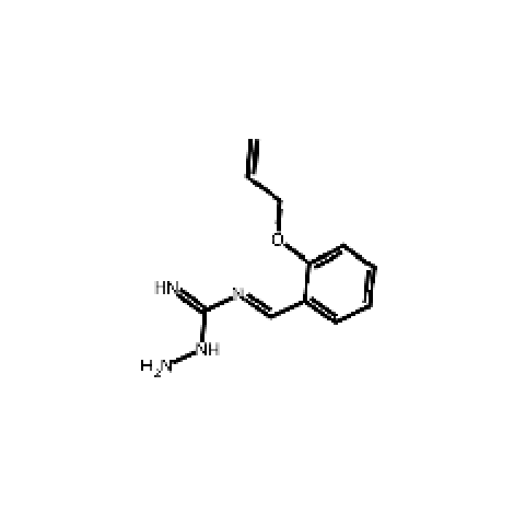 C=CCOc1ccccc1C=NC(=N)NN